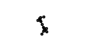 c1ccc(-c2cccc(-n3c4ccccc4c4cc(-c5ccc(-c6ccc7c(c6)c6cccc8c6n7-c6ccc(-c7ccccc7)cc6-c6ccccc6-8)cc5)ccc43)c2)cc1